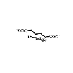 C[CH](C)[Sn+2][CH](C)C.O=C([O-])CCCCC(=O)[O-]